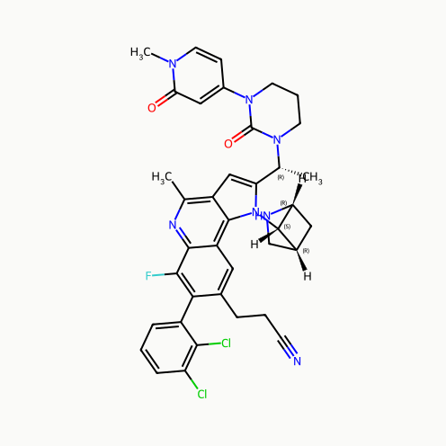 Cc1nc2c(F)c(-c3cccc(Cl)c3Cl)c(CCC#N)cc2c2c1cc([C@@H](C)N1CCCN(c3ccn(C)c(=O)c3)C1=O)n2[C@H]1[C@H]2CN[C@@H]1C2